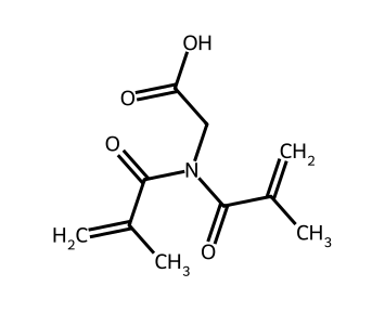 C=C(C)C(=O)N(CC(=O)O)C(=O)C(=C)C